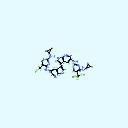 FC(F)(F)c1cnc(NC2CC2)nc1Nc1cnc2[nH]cc(-c3c[nH]c4ncc(Nc5ncc(C(F)(F)F)c(NC6CC6)n5)cc34)c2c1